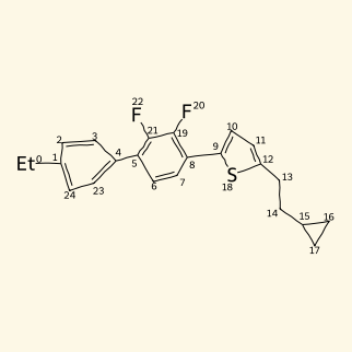 CCc1ccc(-c2ccc(-c3ccc(CCC4CC4)s3)c(F)c2F)cc1